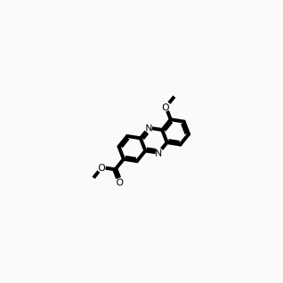 COC(=O)c1ccc2nc3c(OC)cccc3nc2c1